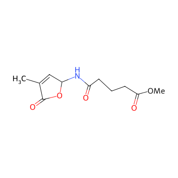 COC(=O)CCCC(=O)NC1C=C(C)C(=O)O1